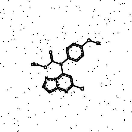 CCOc1ccc(N(C(=O)OC(C)(C)C)c2cc(Cl)nc3ccnn23)cc1